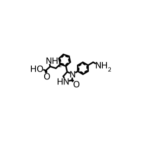 NCc1ccc(N2C(=O)NCC2c2ccccc2CC(N)C(=O)O)cc1